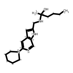 CCCCC(C)(O)NCc1cc2cc(N3CCCCC3)ncc2[nH]1